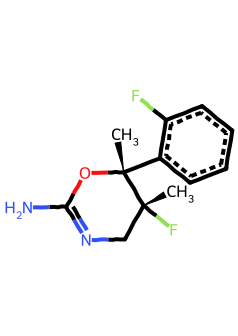 C[C@@]1(F)CN=C(N)O[C@]1(C)c1ccccc1F